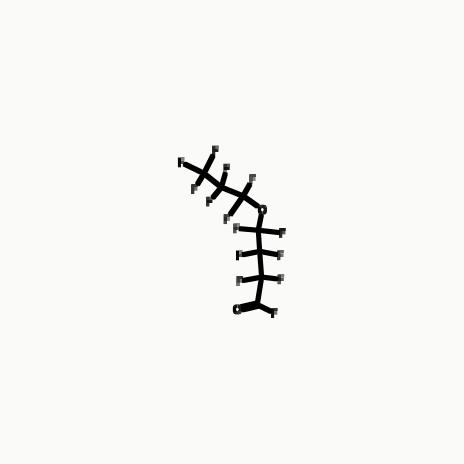 O=C(F)C(F)(F)C(F)(F)C(F)(F)OC(F)(F)C(F)(F)C(F)(F)F